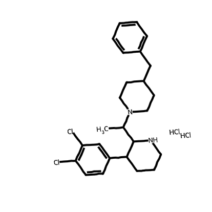 CC(C1NCCCC1c1ccc(Cl)c(Cl)c1)N1CCC(Cc2ccccc2)CC1.Cl.Cl